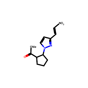 COC(=O)C1CCCC1n1ccc(/C=C/[N+](=O)[O-])n1